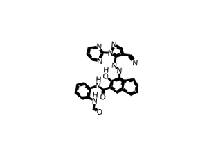 N#Cc1cnn(-c2ncccn2)c1/N=N/c1c(O)c(C(=O)Nc2ccccc2NC=O)cc2ccccc12